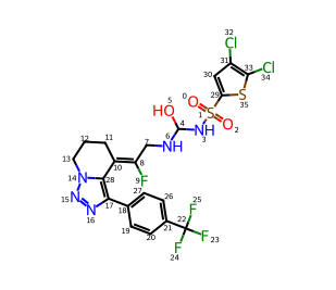 O=S(=O)(NC(O)NC/C(F)=C1\CCCn2nnc(-c3ccc(C(F)(F)F)cc3)c21)c1cc(Cl)c(Cl)s1